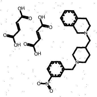 O=C(O)C=CC(=O)O.O=C(O)C=CC(=O)O.O=[N+]([O-])c1cccc(CN2CCC(CN3CCc4ccccc4C3)CC2)c1